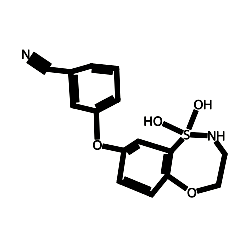 N#Cc1cccc(Oc2ccc3c(c2)S(O)(O)NCCO3)c1